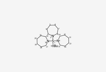 CCCCS(N1CCCCCC1)(N1CCCCCC1)N1CCCCCC1